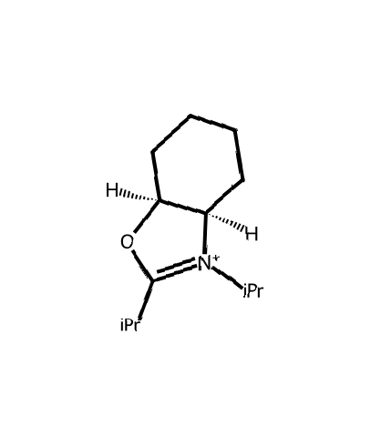 CC(C)C1=[N+](C(C)C)[C@@H]2CCCC[C@@H]2O1